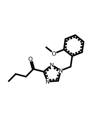 CCCC(=O)c1ncn(Cc2ccccc2OC)n1